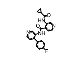 O=C(Nc1cnccc1-c1ccc(F)cc1)c1ccncc1NC(=O)C1CC1